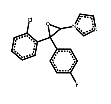 Fc1ccc(C2(c3ccccc3Cl)OC2n2ccnc2)cc1